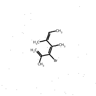 C=C(C)/C(Br)=C(C)\C(C)=C/C